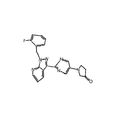 O=C1CCN(c2cnc(-c3nn(Cc4ccccc4F)c4ncccc34)nc2)C1